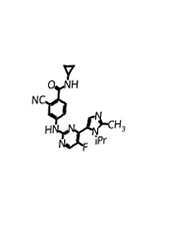 Cc1ncc(-c2nc(Nc3ccc(C(=O)NC4CC4)c(C#N)c3)ncc2F)n1C(C)C